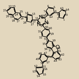 c1ccc(-c2cccc(-c3nc(-c4ccc(-c5ccc6ccccc6c5)cc4)nc(-c4ccc(-c5ccc6c(c5)oc5cccc(-c7cccc(-c8ccccc8)c7)c56)cc4)n3)c2)cc1